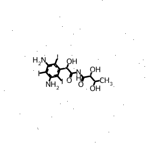 CC(O)C(O)C(=O)NC(=O)C(O)c1c(I)c(N)c(I)c(N)c1I